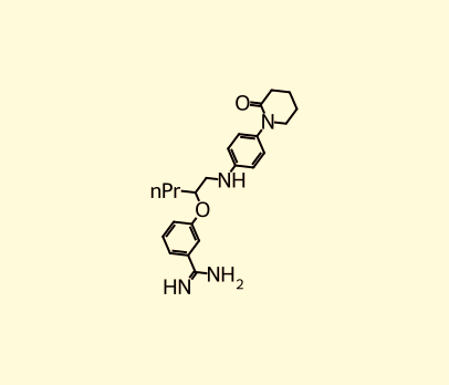 CCCC(CNc1ccc(N2CCCCC2=O)cc1)Oc1cccc(C(=N)N)c1